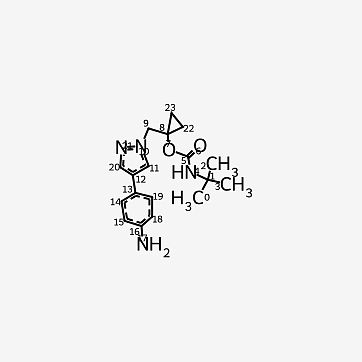 CC(C)(C)NC(=O)OC1(Cn2cc(-c3ccc(N)cc3)cn2)CC1